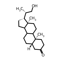 C[C@H](CO)[C@H]1CCC2C3CC[C@H]4CC(=O)CC[C@]4(C)C3CC[C@@]21C